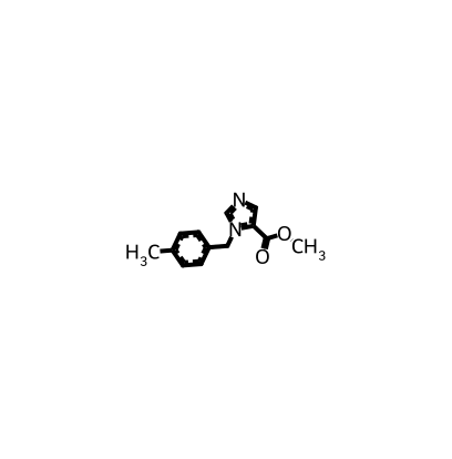 COC(=O)c1cncn1Cc1ccc(C)cc1